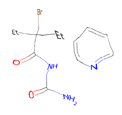 CCC(Br)(CC)C(=O)NC(N)=O.c1ccncc1